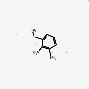 CCCSc1cccc(N)c1[N+](=O)[O-]